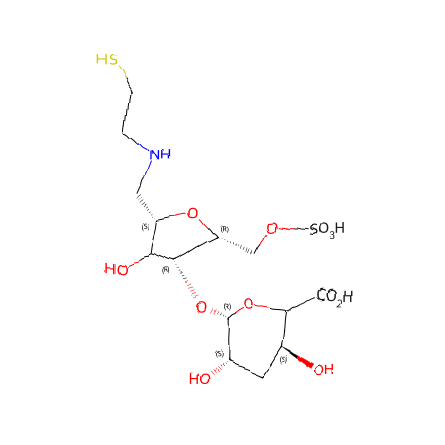 O=C(O)C1O[C@@H](O[C@@H]2C(O)[C@H](CNCCS)O[C@@H]2COS(=O)(=O)O)[C@@H](O)C[C@@H]1O